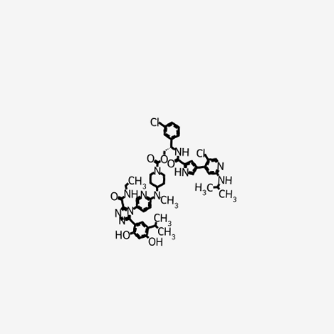 CCNC(=O)c1nnc(-c2cc(C(C)C)c(O)cc2O)n1-c1ccc(N(C)C2CCN(C(=O)OC[C@@H](NC(=O)c3cc(-c4cc(NC(C)C)ncc4Cl)c[nH]3)c3cccc(Cl)c3)CC2)nc1